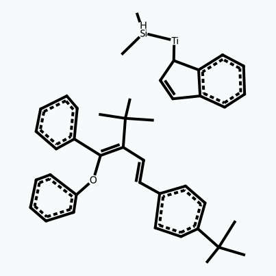 CC(C)(C)C(C=Cc1ccc(C(C)(C)C)cc1)=C(Oc1ccccc1)c1ccccc1.C[SiH](C)[Ti][CH]1C=Cc2ccccc21